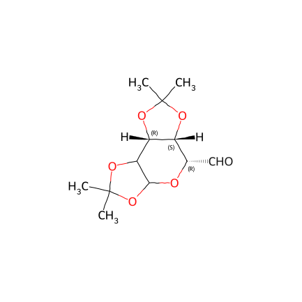 CC1(C)OC2O[C@@H](C=O)[C@H]3OC(C)(C)O[C@H]3C2O1